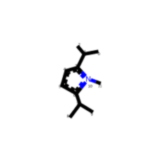 CC(C)c1ccc(C(C)C)n1C